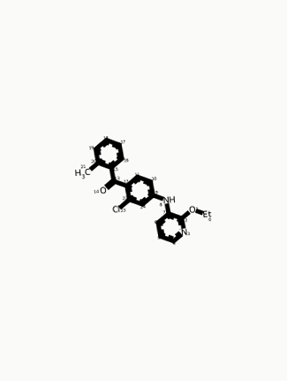 CCOc1ncccc1Nc1ccc(C(=O)c2ccccc2C)c(Cl)c1